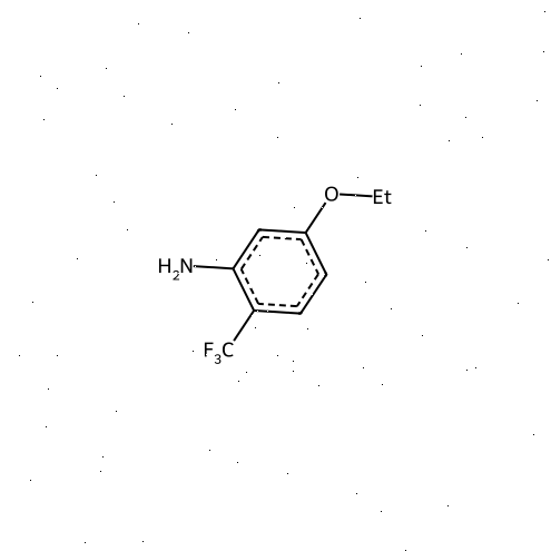 CCOc1ccc(C(F)(F)F)c(N)c1